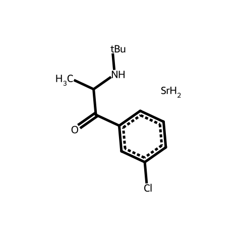 CC(NC(C)(C)C)C(=O)c1cccc(Cl)c1.[SrH2]